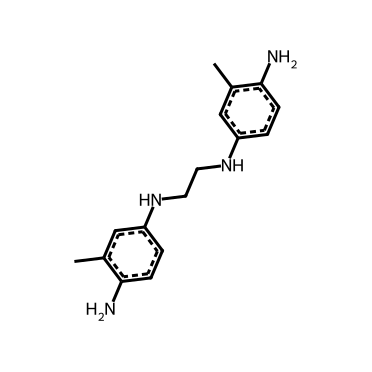 Cc1cc(NCCNc2ccc(N)c(C)c2)ccc1N